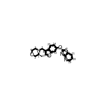 C[C@H]1COCCN1Cc1coc2cc(Oc3nc4ncccc4s3)ccc12